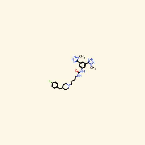 Cn1nnnc1-c1cc(NC(=O)NCCCCN2CCC(Cc3ccc(F)cc3)CC2)cc(-c2nnnn2C)c1